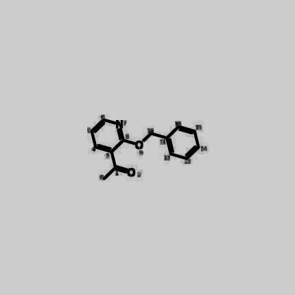 CC(=O)c1cccnc1OCc1ccccc1